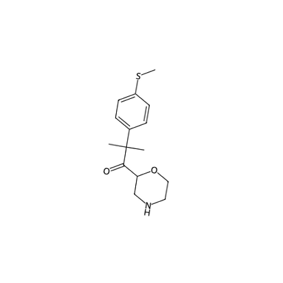 CSc1ccc(C(C)(C)C(=O)C2CNCCO2)cc1